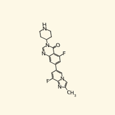 Cc1cn2cc(-c3cc(F)c4c(=O)n(C5CCNCC5)cnc4c3)cc(F)c2n1